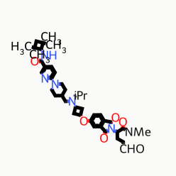 CNC(=O)C(CCC=O)N1C(=O)c2ccc(OC3CC(N(CC4CCN(c5ccc(C(=O)NC6C(C)(C)CC6(C)C)cn5)CC4)C(C)C)C3)cc2C1=O